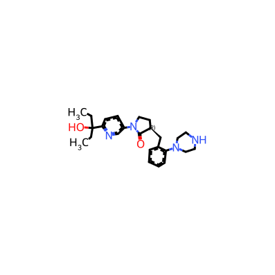 CCC(O)(CC)c1ccc(N2CC[C@@H](Cc3ccccc3N3CCNCC3)C2=O)cn1